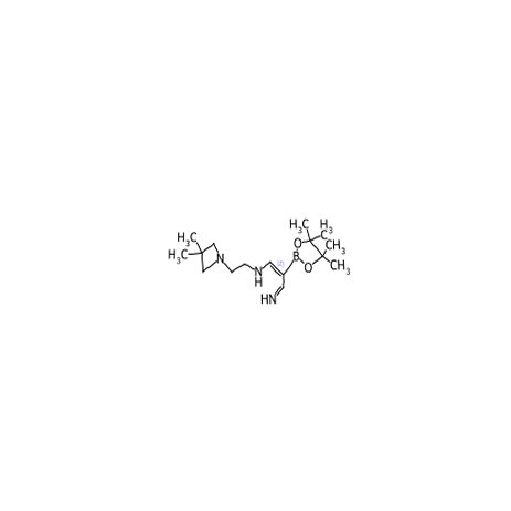 CC1(C)CN(CCN/C=C(\C=N)B2OC(C)(C)C(C)(C)O2)C1